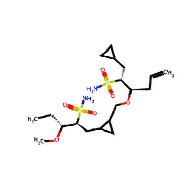 C=CC[C@@H](OCC1CC1C[C@@H]([C@@H](CC)OC)S(N)(=O)=O)[C@@H](CC1CC1)S(N)(=O)=O